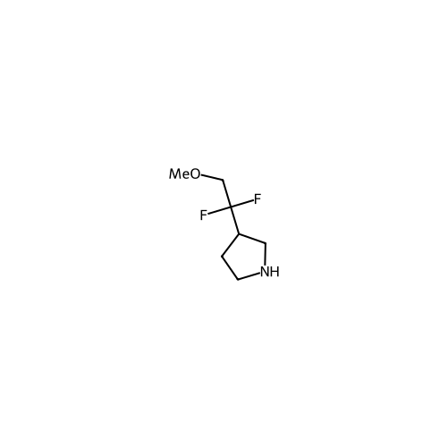 COCC(F)(F)C1CCNC1